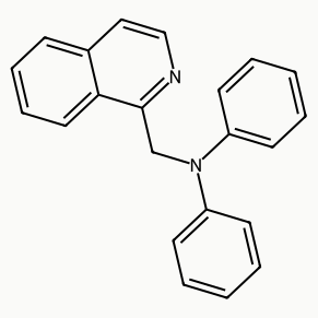 c1ccc(N(Cc2nccc3ccccc23)c2ccccc2)cc1